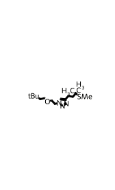 CSC(C)(C)CCc1cn(CCOCCC(C)(C)C)nn1